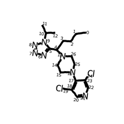 CCCCC(c1nnnn1C(C)C)N1CCN(c2c(Cl)cncc2Cl)CC1